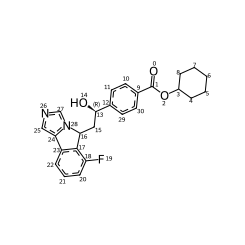 O=C(OC1CCCCC1)c1ccc([C@H](O)CC2c3c(F)cccc3-c3cncn32)cc1